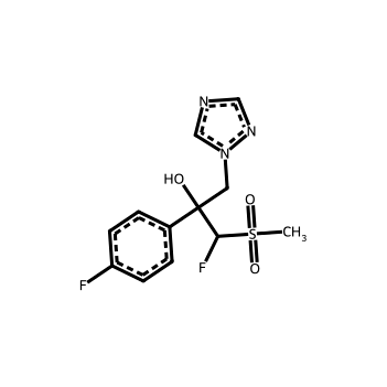 CS(=O)(=O)C(F)C(O)(Cn1cncn1)c1ccc(F)cc1